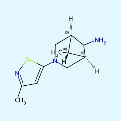 Cc1cc(N2C[C@@H]3C(N)[C@H](C2)[C@H]3C)sn1